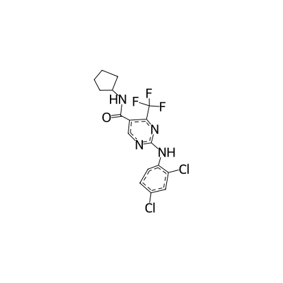 O=C(NC1CCCC1)c1cnc(Nc2ccc(Cl)cc2Cl)nc1C(F)(F)F